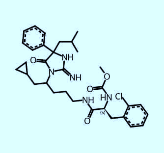 COC(=O)N[C@@H](Cc1ccccc1Cl)C(=O)NCCCC(CC1CC1)N1C(=N)NC(CC(C)C)(c2ccccc2)C1=O